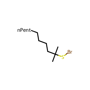 CCCCCCCCCC(C)(C)SBr